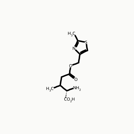 Cc1nc(COC(=O)CC(C)[C@H](N)C(=O)O)cs1